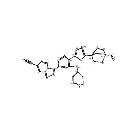 N#Cc1cnn2c(-c3cc(NC4CCOCC4)c(-c4nnc(C56CCC(C=O)(CC5)CC6)s4)cn3)ccc2c1